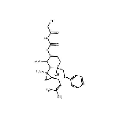 COC1C(OC(=O)NC(=O)CCl)CCC(O)(CSc2ccncc2)C1C1(C)OC1CC=C(C)C